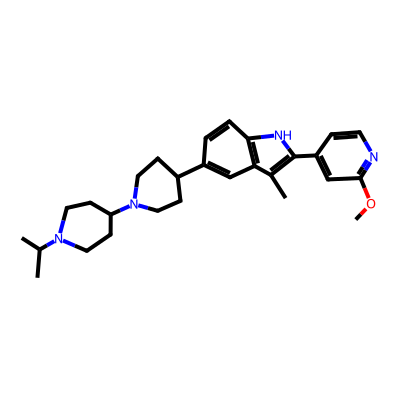 COc1cc(-c2[nH]c3ccc(C4CCN(C5CCN(C(C)C)CC5)CC4)cc3c2C)ccn1